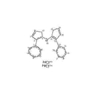 C1=CC(c2ccccc2)=[C]([Zr][C]2=C(c3ccccc3)C=CC2)C1.Cl.Cl